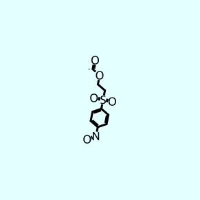 O=[C]OCCS(=O)(=O)c1ccc(N=O)cc1